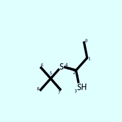 CCC(S)SC(C)(C)C